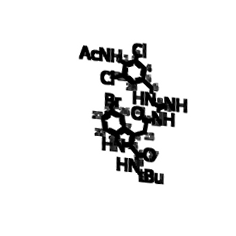 CC(=O)Nc1c(Cl)cc(CNC(=N)NC(=O)Cc2c(C(=O)NC(C)(C)C)[nH]c3ccc(Br)cc23)cc1Cl